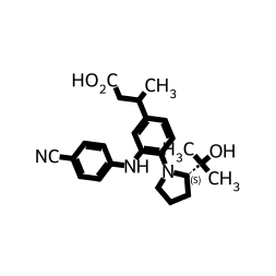 CC(CC(=O)O)c1ccc(N2CCC[C@H]2C(C)(C)O)c(Nc2ccc(C#N)cc2)c1